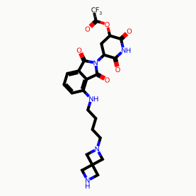 O=C1NC(=O)C(N2C(=O)c3cccc(NCCCCN4CC5(CNC5)C4)c3C2=O)CC1OC(=O)C(F)(F)F